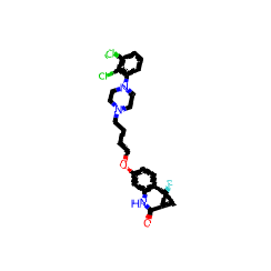 O=C1Nc2cc(OCCCCN3CCN(c4cccc(Cl)c4Cl)CC3)ccc2C2(F)CC12